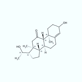 C[C@H](O)[C@H]1CC[C@H]2[C@@H]3CCC4=CC(O)CC[C@]4(C)[C@H]3C(=O)C[C@]12C